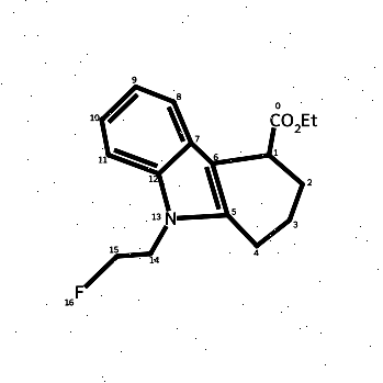 CCOC(=O)C1CCCc2c1c1ccccc1n2CCF